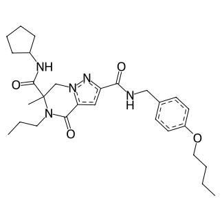 CCCCOc1ccc(CNC(=O)c2cc3n(n2)CC(C)(C(=O)NC2CCCC2)N(CCC)C3=O)cc1